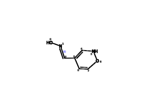 O/N=C/C1=CNOC=C1